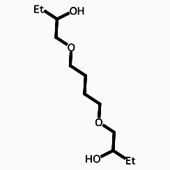 CCC(O)COCCCCOCC(O)CC